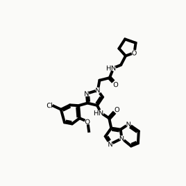 COc1ccc(Cl)cc1-c1nn(CC(=O)NCC2CCCO2)cc1NC(=O)c1cnn2cccnc12